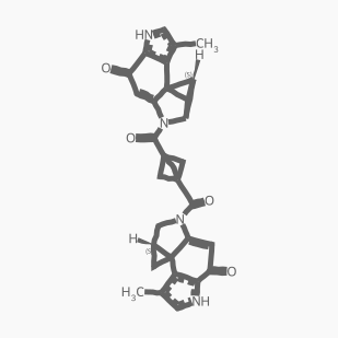 Cc1c[nH]c2c1C13C[C@@H]1CN(C(=O)C14CC(C(=O)N5C6=CC(=O)c7[nH]cc(C)c7C67C6C5[C@@H]67)(C1)C4)C3=CC2=O